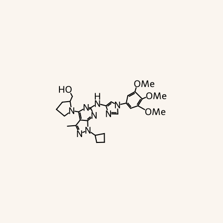 COc1cc(-n2cnc(Nc3nc(N4CCCC4CO)c4c(C)nn(C5CCC5)c4n3)c2)cc(OC)c1OC